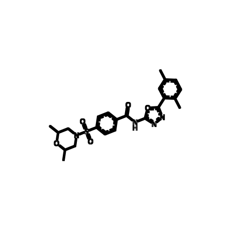 Cc1ccc(C)c(-c2nnc(NC(=O)c3ccc(S(=O)(=O)N4CC(C)OC(C)C4)cc3)o2)c1